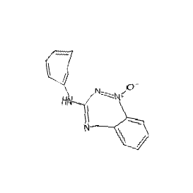 [O-][n+]1nc(Nc2ccccc2)nc2ccccc21